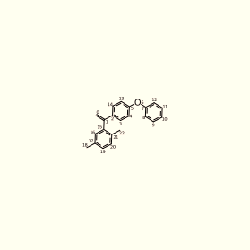 C=C(c1ccc(Oc2ccccc2)cc1)c1cc(C)ccc1C